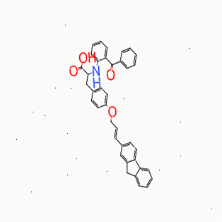 O=C(c1ccccc1)c1ccccc1NC(Cc1ccc(OCC=Cc2ccc3c(c2)Cc2ccccc2-3)cc1)C(=O)O